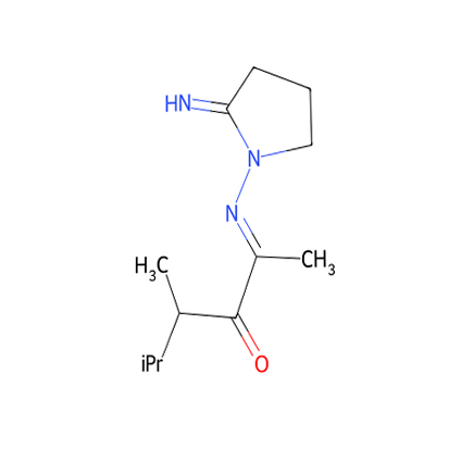 C/C(=N\N1CCCC1=N)C(=O)C(C)C(C)C